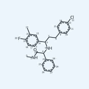 CNC(=O)C(NC(CCc1ccc(Cl)cc1)c1ccc(F)c(C)c1)c1ccccc1